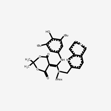 CCCCCCN(Cc1ccc2ccccc2n1)C(Nc1cc(C(C)(C)C)c(O)c(C(C)(C)C)c1)=C1C(=O)OC(C)(C)OC1=O